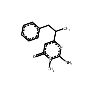 CC(Cc1ccccc1)c1cc(=O)n(C)c(N)n1